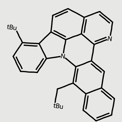 CC(C)(C)Cc1c2ccccc2cc2c3nccc4ccc5c6c(C(C)(C)C)cccc6n(c12)c5c43